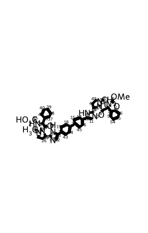 COC(=O)N[C@H](C(=O)N1[C@H](c2ncc(-c3ccc(-c4ccc(-c5cnc([C@@H]6CCN(C)N6C(=O)[C@H](NC(=O)O)c6ccccc6)[nH]5)cc4)cc3)[nH]2)CCN1C)c1ccccc1